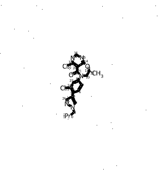 CC(C)Cn1cc(-c2ccc(N3C[C@@H](C)Oc4ncnc(Cl)c4C3=O)cc2Cl)cn1